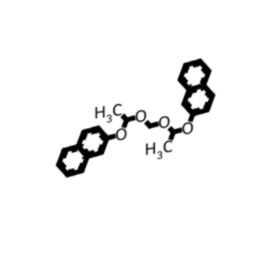 CC(OCOC(C)Oc1ccc2ccccc2c1)Oc1ccc2ccccc2c1